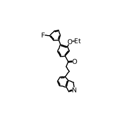 CCOc1cc(C(=O)CCc2cccc3c2CN=C3)ccc1-c1cccc(F)c1